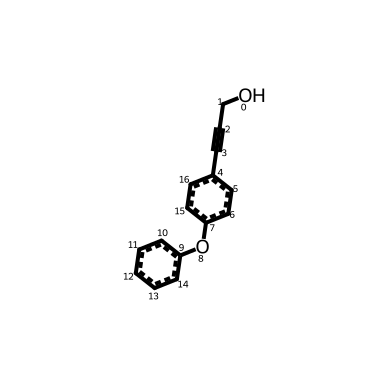 OCC#Cc1ccc(Oc2ccccc2)cc1